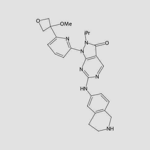 COC1(c2cccc(-n3c4nc(Nc5ccc6c(c5)CCNC6)ncc4c(=O)n3C(C)C)n2)COC1